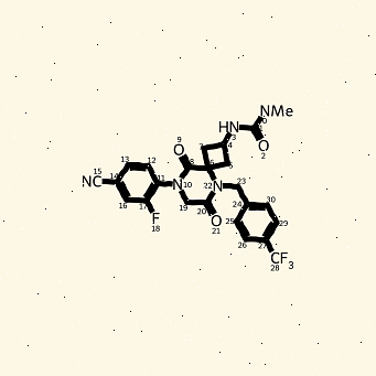 CNC(=O)NC1CC2(C1)C(=O)N(c1ccc(C#N)cc1F)CC(=O)N2Cc1ccc(C(F)(F)F)cc1